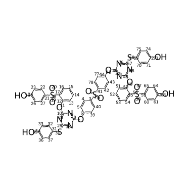 O=S(=O)(c1ccc(Oc2nc(Oc3ccccc3S(=O)(=O)c3ccc(O)cc3)nc(Sc3ccc(O)cc3)n2)cc1)c1ccc(Oc2nc(Oc3ccccc3S(=O)(=O)c3ccc(O)cc3)nc(Sc3ccc(O)cc3)n2)cc1